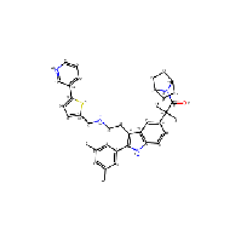 Cc1cc(C)cc(-c2[nH]c3ccc(C(C)(C)C(=O)N4C5CCC4CC5)cc3c2CCNCc2ccc(-c3cccnc3)s2)c1